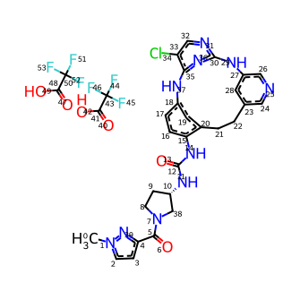 Cn1ccc(C(=O)N2CC[C@H](NC(=O)Nc3ccc4cc3CCc3cncc(c3)Nc3ncc(Cl)c(n3)N4)C2)n1.O=C(O)C(F)(F)F.O=C(O)C(F)(F)F